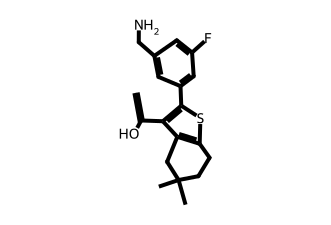 C=C(O)c1c(-c2cc(F)cc(CN)c2)sc2c1CC(C)(C)CC2